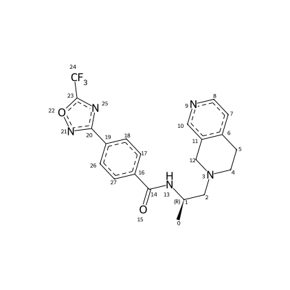 C[C@H](CN1CCc2ccncc2C1)NC(=O)c1ccc(-c2noc(C(F)(F)F)n2)cc1